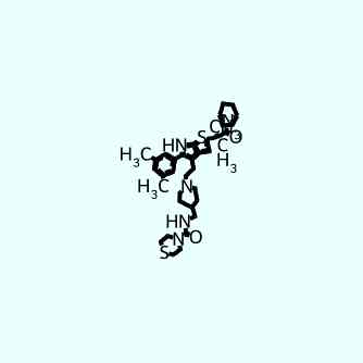 Cc1cc(C)cc(-c2[nH]c3sc(C(C)(C)C(=O)N4C5CCC4CC5)cc3c2CCN2CCC(CNC(=O)N3CCSCC3)CC2)c1